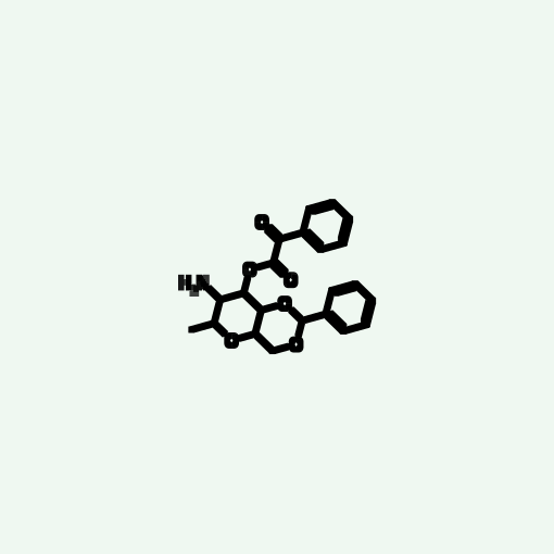 CC1OC2COC(c3ccccc3)OC2C(OC(=O)C(=O)c2ccccc2)C1N